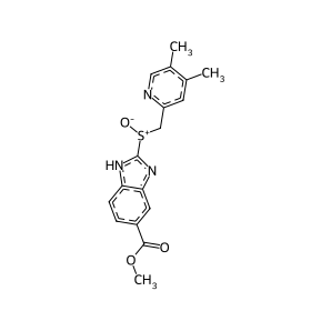 COC(=O)c1ccc2[nH]c([S+]([O-])Cc3cc(C)c(C)cn3)nc2c1